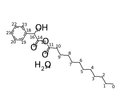 CCCCCCCCCCCC(=O)OC(=O)C(O)c1ccccc1.O